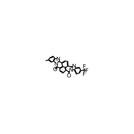 Cc1ccc2nc3c4ccc5c6c(ccc(c(=O)n3c2c1)c46)c(=O)n1c2ccc(C(F)(F)F)cc2nc51